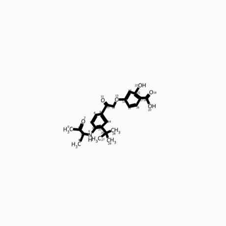 CC(=O)C(C)Nc1ccc(C(=O)COc2ccc(C(=O)O)c(O)c2)cc1C(C)(C)C